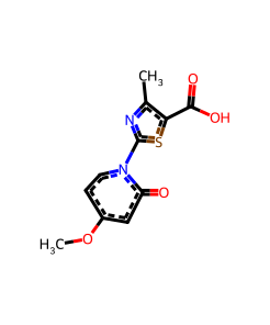 COc1ccn(-c2nc(C)c(C(=O)O)s2)c(=O)c1